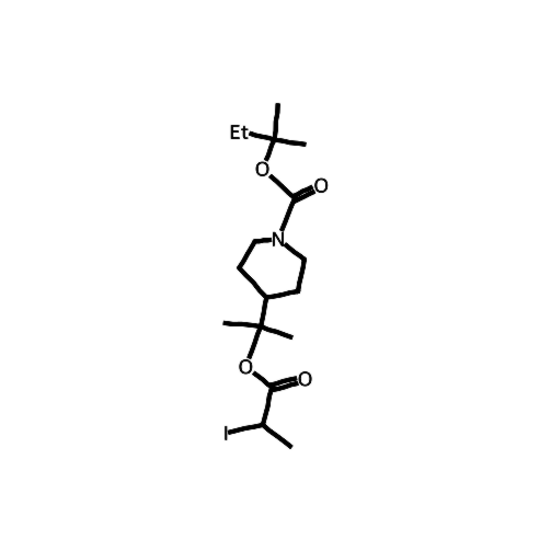 CCC(C)(C)OC(=O)N1CCC(C(C)(C)OC(=O)C(C)I)CC1